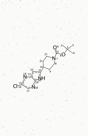 CC(C)(C)OC(=O)N1CCC(c2cc3nc(Cl)cnc3[nH]2)CC1